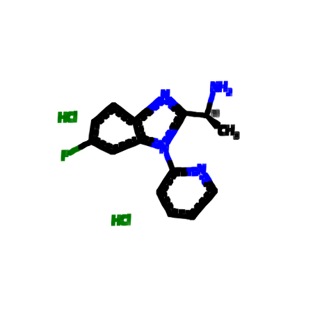 C[C@H](N)c1nc2ccc(F)cc2n1-c1ccccn1.Cl.Cl